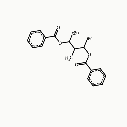 CC(C)C(OC(=O)c1ccccc1)C(C)C(OC(=O)c1ccccc1)C(C)(C)C